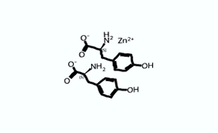 N[C@@H](Cc1ccc(O)cc1)C(=O)[O-].N[C@@H](Cc1ccc(O)cc1)C(=O)[O-].[Zn+2]